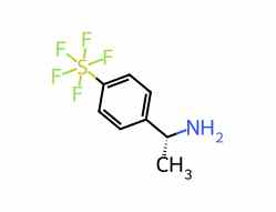 C[C@@H](N)c1ccc(S(F)(F)(F)(F)F)cc1